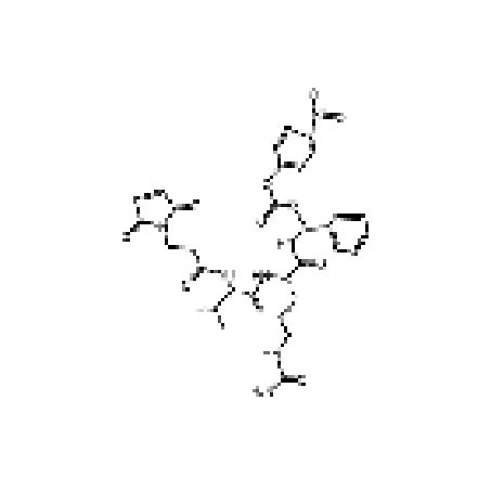 CC(C)[C@H](NC(=O)CCN1C(=O)C=CC1=O)C(=O)N[C@@H](CCCNC(N)=O)C(=O)NC(OC(=O)Oc1ccc([N+](=O)[O-])cc1)c1ccccc1